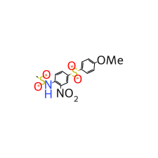 COc1ccc(S(=O)(=O)c2ccc(NS(C)(=O)=O)c([N+](=O)[O-])c2)cc1